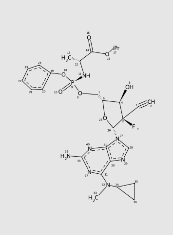 C#C[C@@]1(F)[C@H](O)[C@@H](CO[P@@](=O)(N[C@H](C)C(=O)OC(C)C)Oc2ccccc2)O[C@H]1n1cnc2c(N(C)C3CC3)nc(N)nc21